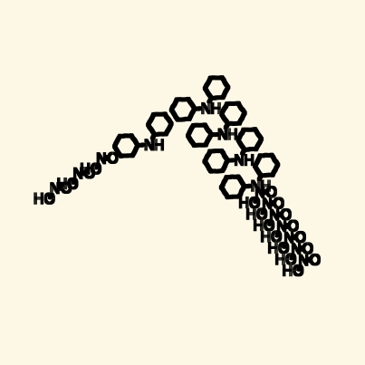 C1CCC(NC2CCCCC2)CC1.C1CCC(NC2CCCCC2)CC1.C1CCC(NC2CCCCC2)CC1.C1CCC(NC2CCCCC2)CC1.C1CCC(NC2CCCCC2)CC1.O=NO.O=NO.O=NO.O=NO.O=NO.O=NO.O=NO.O=NO.O=NO.O=NO